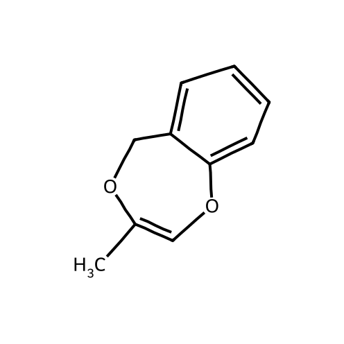 CC1=COc2ccccc2CO1